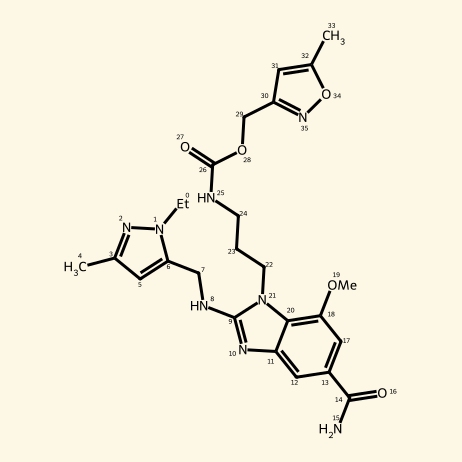 CCn1nc(C)cc1CNc1nc2cc(C(N)=O)cc(OC)c2n1CCCNC(=O)OCc1cc(C)on1